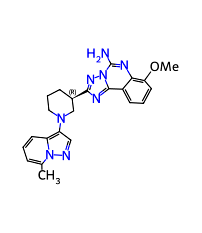 COc1cccc2c1nc(N)n1nc([C@@H]3CCCN(c4cnn5c(C)cccc45)C3)nc21